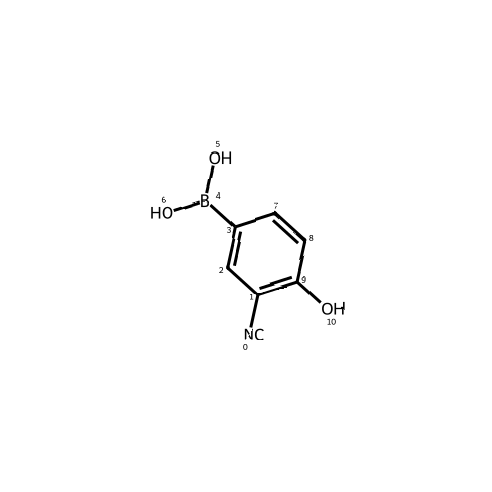 [C-]#[N+]c1cc(B(O)O)ccc1O